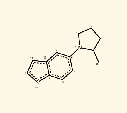 CC1CCCN1c1ccc2sccc2c1